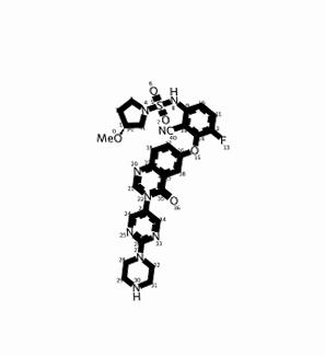 CO[C@@H]1CCN(S(=O)(=O)Nc2ccc(F)c(Oc3ccc4ncn(-c5cnc(N6CCNCC6)nc5)c(=O)c4c3)c2C#N)C1